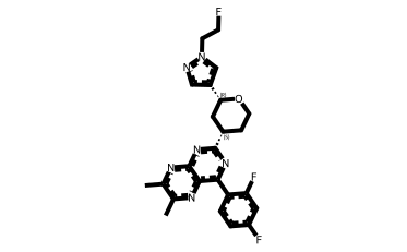 Cc1nc2nc([C@H]3CCO[C@@H](c4cnn(CCF)c4)C3)nc(-c3ccc(F)cc3F)c2nc1C